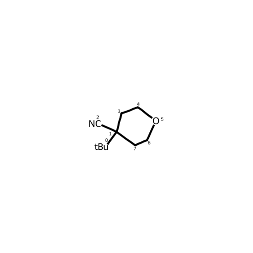 CC(C)(C)C1(C#N)CCOCC1